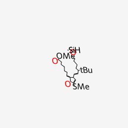 COC(=O)CCCCCC=C1C(=O)C(SC)=CC1C=CC(CCCCCO[SiH](C)C)C(C)(C)C